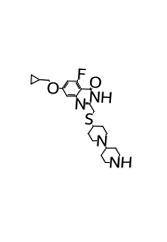 O=c1[nH]c(CSC2CCN(C3CCNCC3)CC2)nc2cc(OCC3CC3)cc(F)c12